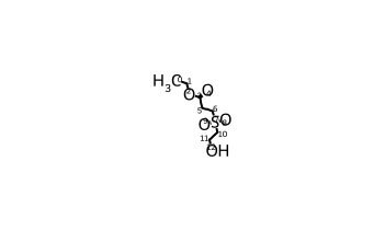 CCOC(=O)CCS(=O)(=O)CCO